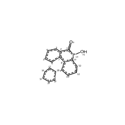 O=c1c2ccccc2c2ccccc2p1O.c1ccccc1